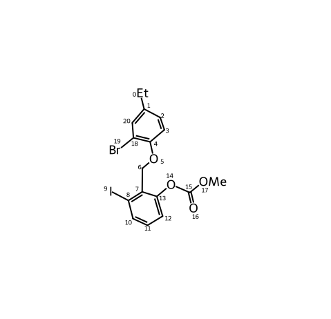 CCc1ccc(OCc2c(I)cccc2OC(=O)OC)c(Br)c1